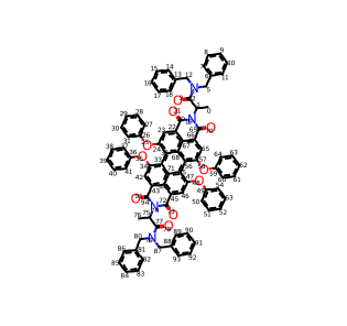 CC(C(=O)N(Cc1ccccc1)Cc1ccccc1)N1C(=O)c2cc(Oc3ccccc3)c3c4c(Oc5ccccc5)cc5c6c(cc(Oc7ccccc7)c(c7c(Oc8ccccc8)cc(c2c37)C1=O)c64)C(=O)N(C(C)C(=O)N(Cc1ccccc1)Cc1ccccc1)C5=O